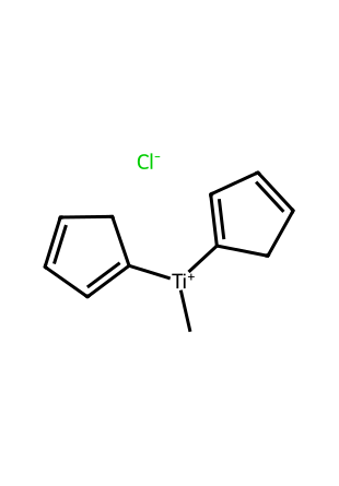 [CH3][Ti+]([C]1=CC=CC1)[C]1=CC=CC1.[Cl-]